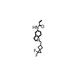 C=CC(=O)Nc1ccc2c(ccn2CC2CC3(C2)CC3(F)F)c1